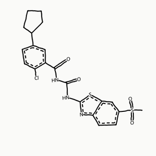 CS(=O)(=O)c1ccc2nc(NC(=O)NC(=O)c3cc(C4CCCC4)ccc3Cl)sc2c1